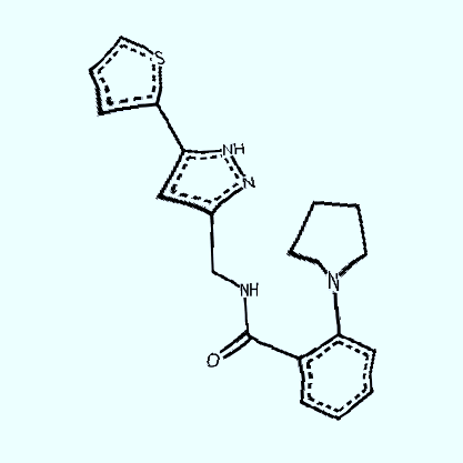 O=C(NCc1cc(-c2cccs2)[nH]n1)c1ccccc1N1CCCC1